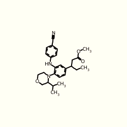 CCC(CC(=O)OC)c1ccc(N2CCOCC2C(C)C)c(Nc2ccc(C#N)cc2)c1